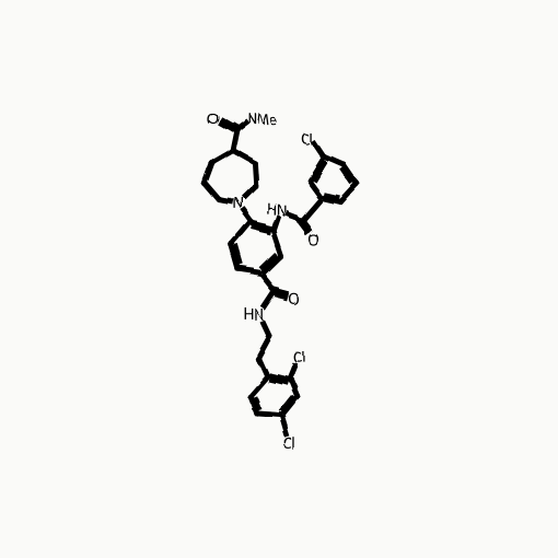 CNC(=O)C1CCCN(c2ccc(C(=O)NCCc3ccc(Cl)cc3Cl)cc2NC(=O)c2cccc(Cl)c2)CC1